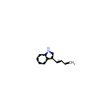 C=C/C=C/c1c[nH]c2ccccc12